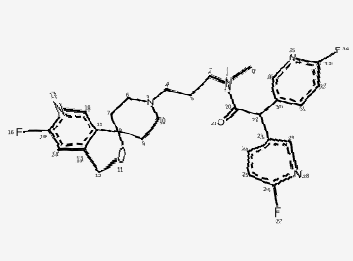 CN(CCCN1CCC2(CC1)OCc1cc(F)ncc12)C(=O)C(c1ccc(F)nc1)c1ccc(F)nc1